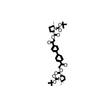 C[C@H]1CC[C@@H](C(=O)OCC(=O)c2ccc(-c3ccc(C(=O)COC(=O)[C@@H]4CC[C@H](C)N4C(=O)OC(C)(C)C)cc3)cc2)N1C(=O)OC(C)(C)C